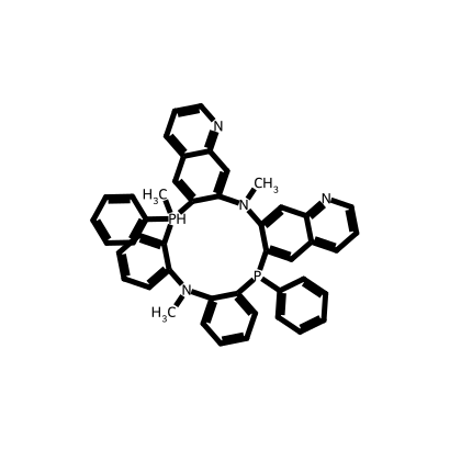 CN1c2ccccc2P(c2ccccc2)c2cc3cccnc3cc2N(C)c2cc3ncccc3cc2[PH](C)(c2ccccc2)c2ccccc21